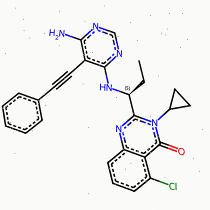 CC[C@H](Nc1ncnc(N)c1C#Cc1ccccc1)c1nc2cccc(Cl)c2c(=O)n1C1CC1